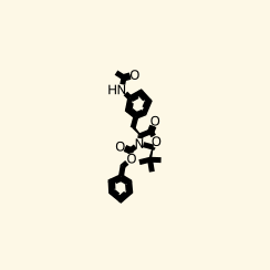 CC(=O)Nc1cccc(C[C@H]2C(=O)O[C@@H](C(C)(C)C)N2C(=O)OCc2ccccc2)c1